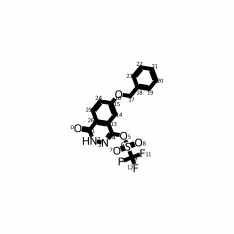 O=c1[nH]nc(OS(=O)(=O)C(F)(F)F)c2cc(OCc3ccccc3)ccc12